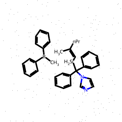 CB(c1ccccc1)c1ccccc1.CCCC(C)=C[SiH2]C(c1ccccc1)(c1ccccc1)n1ccnc1